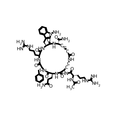 CC(=O)N[C@@H](CCCNC(=N)N)C(=O)N[C@H]1CCNC(=O)CCC[C@@H](C(N)=O)NC(=O)[C@H](Cc2cn(N)c3ccccc23)NC(=O)C(CCCNC(=N)N)NC(=O)[C@@H](Cc2ccccc2)NC(=O)[C@H](CCC(N)=O)NC1=O